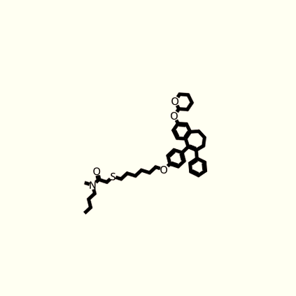 CCCCN(C)C(=O)CSCCCCCCOc1ccc(C2=C(c3ccccc3)CCCc3cc(OC4CCCCO4)ccc32)cc1